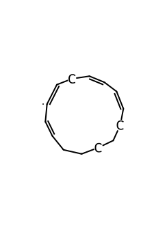 [C]1=CCC=CC=CCCCCCC=C1